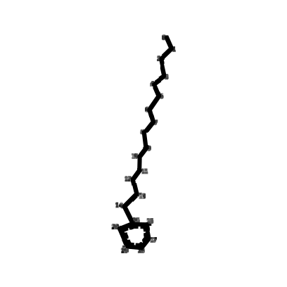 CCCCCCCCCCCCCCCc1[c]cc[c]c1